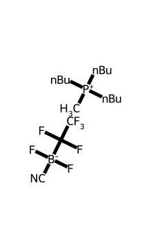 CCCC[P+](C)(CCCC)CCCC.N#C[B-](F)(F)C(F)(F)C(F)(F)F